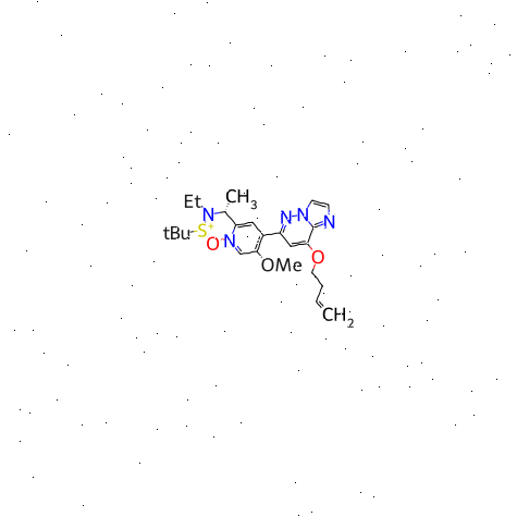 C=CCCOc1cc(-c2cc([C@@H](C)N(CC)[S+]([O-])C(C)(C)C)ncc2OC)nn2ccnc12